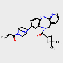 C=CC(=O)N1CC2CCC1CN2c1ccc2c(c1)N(C(=O)C1CC(C)(C)C1)Cc1cccnc1N2